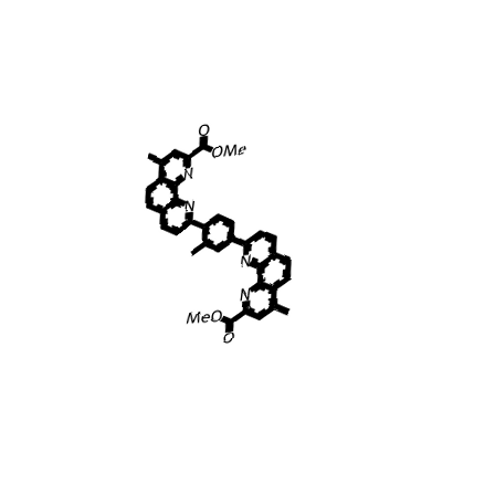 COC(=O)c1cc(C)c2ccc3ccc(-c4ccc(-c5ccc6ccc7c(C)cc(C(=O)OC)nc7c6n5)c(C)c4)nc3c2n1